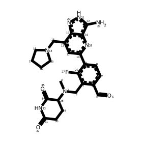 CN(Cc1c(C=O)ccc(-c2cc(CN3CCCC3)c3n[nH]c(N)c3n2)c1F)C1CCC(=O)NC1=O